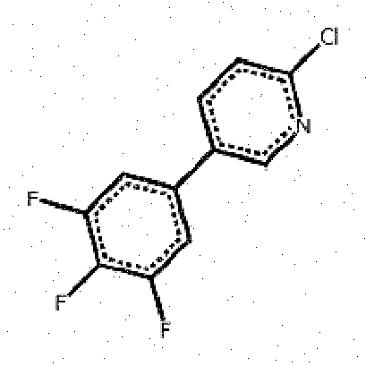 Fc1cc(-c2[c]nc(Cl)cc2)cc(F)c1F